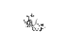 CC(N)CC(=O)O.Cc1snnc1CI